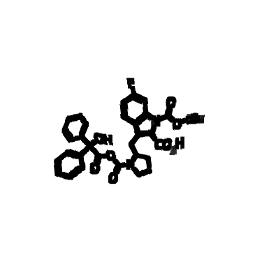 CC(C)(C)OC(=O)n1c(C(=O)O)c(CC2CCCN2C(=O)OC(=O)C(O)(c2ccccc2)c2ccccc2)c2ccc(F)cc21